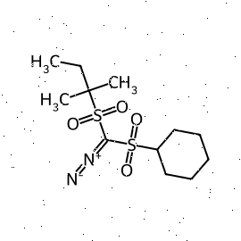 CCC(C)(C)S(=O)(=O)C(=[N+]=[N-])S(=O)(=O)C1CCCCC1